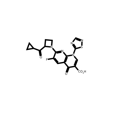 O=C(O)c1cn(-c2ncns2)c2nc(N3CCC3C(=O)C3CC3)c(F)cc2c1=O